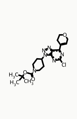 CC(C)(C)OC(=O)N1CCC(n2nnc3c(C4=CCOCC4)nc(Cl)nc32)CC1